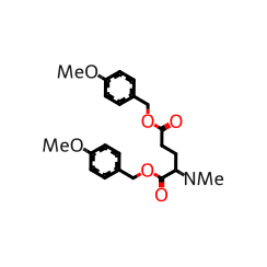 CNC(CCC(=O)OCc1ccc(OC)cc1)C(=O)OCc1ccc(OC)cc1